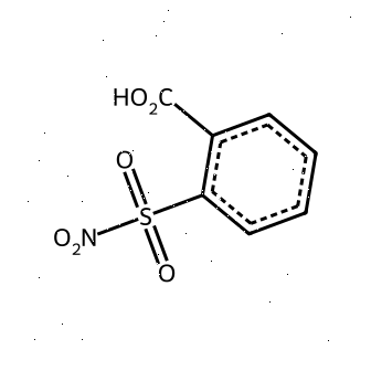 O=C(O)c1ccccc1S(=O)(=O)[N+](=O)[O-]